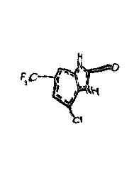 O=c1[nH]c2cc(C(F)(F)F)cc(Cl)c2[nH]1